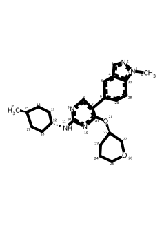 Cn1ncc2cc(-c3cnc(N[C@H]4CC[C@H](C)CC4)nc3O[C@@H]3CCCOC3)ccc21